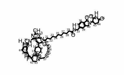 Cc1nc2c3cc(C4CCS(=O)(=O)CC4)c(=O)n(c3n1)C(CCCCCCCCCC(=O)NCc1ccc3c(c1)CN(C1CCC(=O)NC1=O)C3=O)CCCCCCN1CCC(CC1)C(F)(F)c1cccc(c1)[C@@H](C)N2